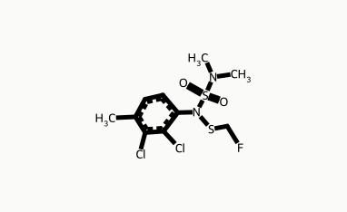 Cc1ccc(N(SCF)S(=O)(=O)N(C)C)c(Cl)c1Cl